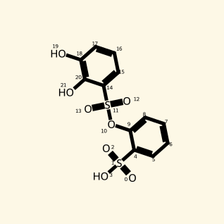 O=S(=O)(O)c1ccccc1OS(=O)(=O)c1cccc(O)c1O